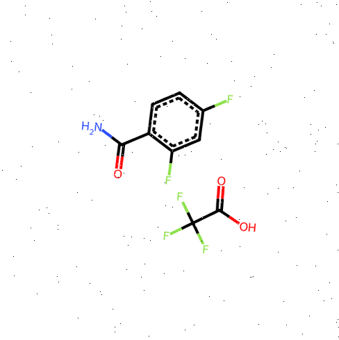 NC(=O)c1ccc(F)cc1F.O=C(O)C(F)(F)F